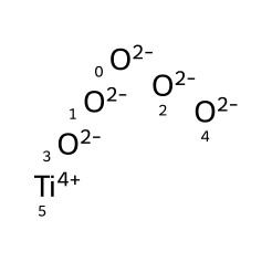 [O-2].[O-2].[O-2].[O-2].[O-2].[Ti+4]